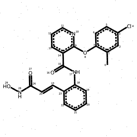 Cc1cc(Cl)ccc1Oc1ncccc1C(=O)Nc1ccccc1C=CC(=O)NO